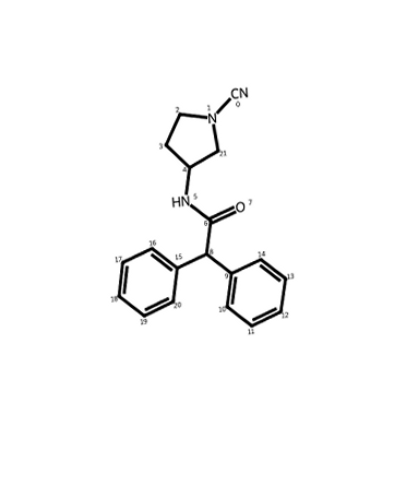 N#CN1CCC(NC(=O)C(c2ccccc2)c2ccccc2)C1